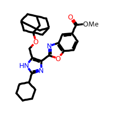 COC(=O)c1ccc2oc(-c3nc(C4CCCCC4)[nH]c3COC34CC5CC(CC(C5)C3)C4)nc2c1